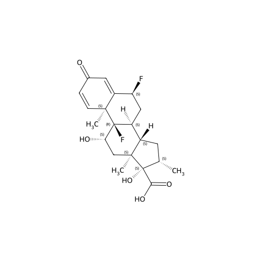 C[C@H]1C[C@H]2[C@@H]3C[C@H](F)C4=CC(=O)C=C[C@]4(C)[C@@]3(F)[C@@H](O)C[C@]2(C)[C@]1(O)C(=O)O